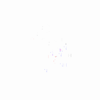 CN1CCC[C@H]1COc1nc(N2[C@@H]3CC[C@H]2CN(CC2(O)CCNCC2)C3)c2ccc(-c3cc(O)cc4ccccc34)cc2n1